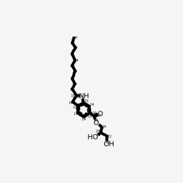 CCCCCCCCCCC1Cc2ccc(C(=O)OCC(O)CO)cc2N1